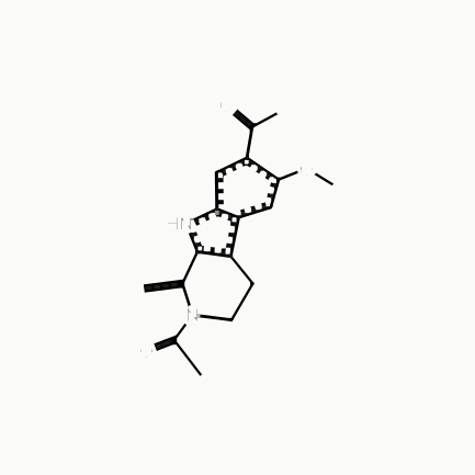 C=C1c2[nH]c3cc(C(C)=O)c(OC)cc3c2CCN1C(C)=O